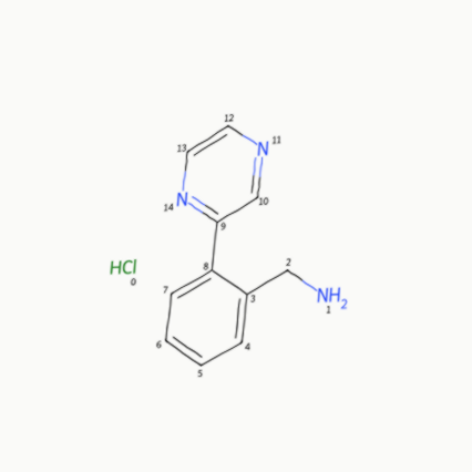 Cl.NCc1ccccc1-c1cnccn1